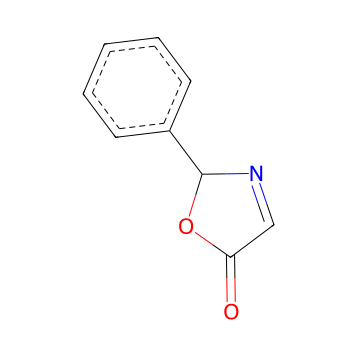 O=C1C=NC(c2ccccc2)O1